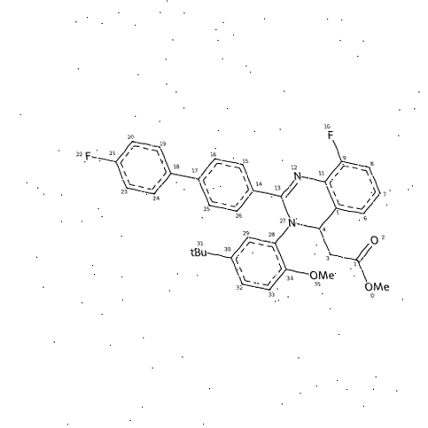 COC(=O)CC1c2cccc(F)c2N=C(c2ccc(-c3ccc(F)cc3)cc2)N1c1cc(C(C)(C)C)ccc1OC